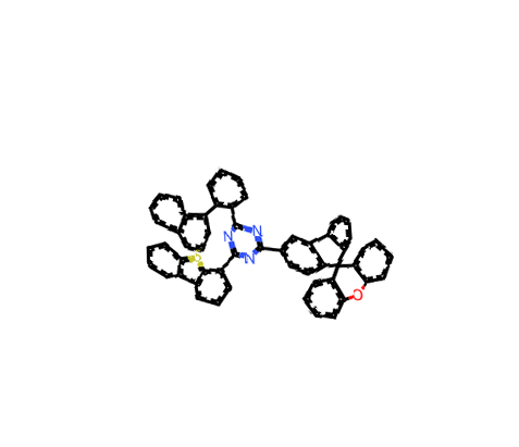 c1ccc2c(c1)Oc1ccccc1C21c2ccccc2-c2cc(-c3nc(-c4ccccc4-c4cccc5ccccc45)nc(-c4cccc5c4sc4ccccc45)n3)ccc21